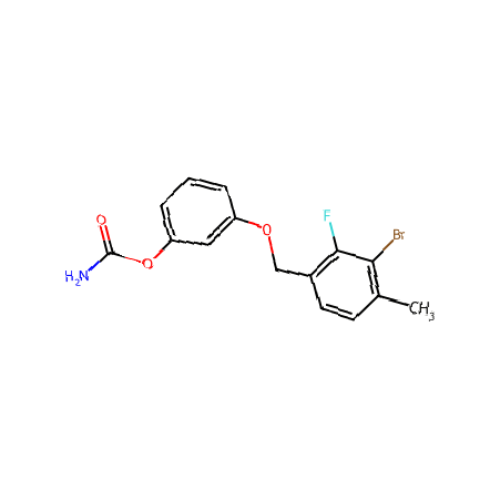 Cc1ccc(COc2cccc(OC(N)=O)c2)c(F)c1Br